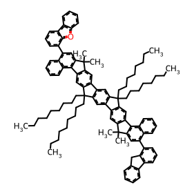 CCCCCCCCCC1(CCCCCCCCC)c2cc3c(cc2-c2cc4c(cc21)-c1cc2c(cc1C4(CCCCCCCC)CCCCCCCC)-c1c(cc(-c4cccc5c4Cc4ccccc4-5)c4ccccc14)C2(C)C)C(C)(C)c1cc(-c2cccc4c2oc2ccccc24)c2ccccc2c1-3